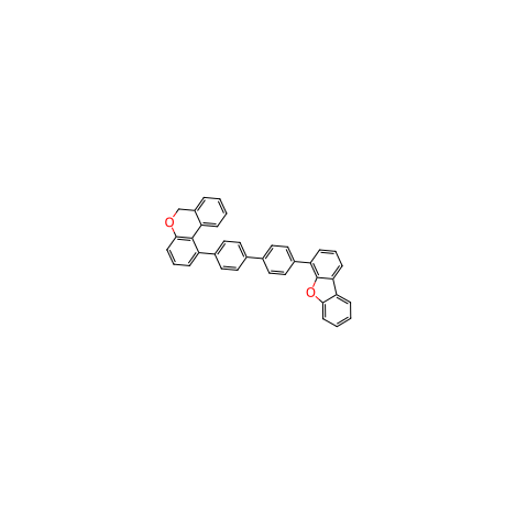 c1ccc2c(c1)COc1cccc(-c3ccc(-c4ccc(-c5cccc6c5oc5ccccc56)cc4)cc3)c1-2